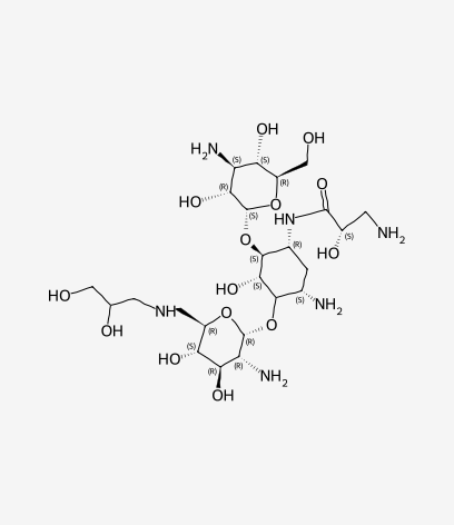 NC[C@H](O)C(=O)N[C@@H]1C[C@H](N)C(O[C@H]2O[C@H](CNCC(O)CO)[C@@H](O)[C@H](O)[C@H]2N)[C@H](O)[C@H]1O[C@H]1O[C@H](CO)[C@@H](O)[C@H](N)[C@H]1O